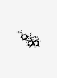 CCCCc1ccc2c(c1)[Si](C)(C)c1c-2ccc2ccccc12